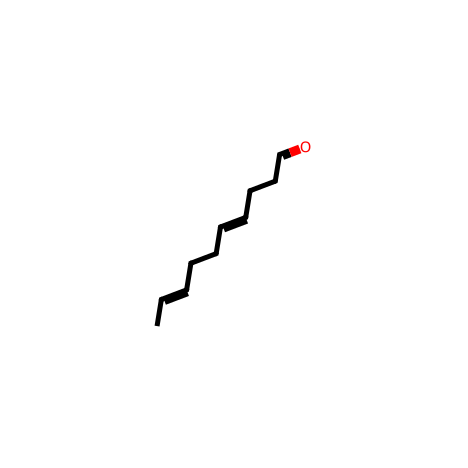 CC=CCCC=CCCC=O